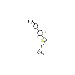 CCCCCc1ccc(-c2c(F)cc(-c3ccc(C)cc3)cc2F)s1